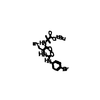 CC(C)C[C@H](NC(=O)Nc1ccc(Br)cc1)C(=O)NC(C)(C)C(=O)OC(C)(C)C